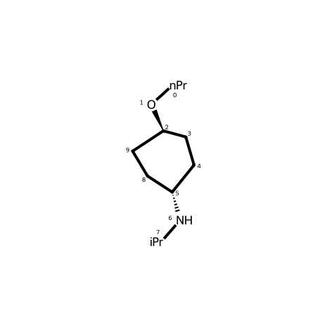 CCCO[C@H]1CC[C@H](NC(C)C)CC1